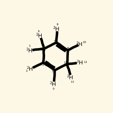 [2H]C1=C([2H])C([2H])([2H])C([2H])=C([2H])C1([2H])[2H]